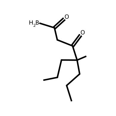 BC(=O)CC(=O)C(C)(CCC)CCC